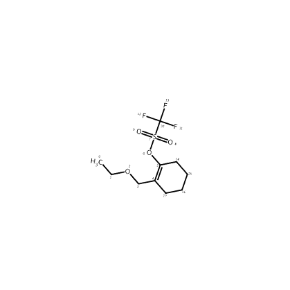 CCOCC1=C(OS(=O)(=O)C(F)(F)F)CCCC1